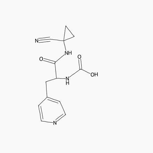 N#CC1(NC(=O)C(Cc2ccncc2)NC(=O)O)CC1